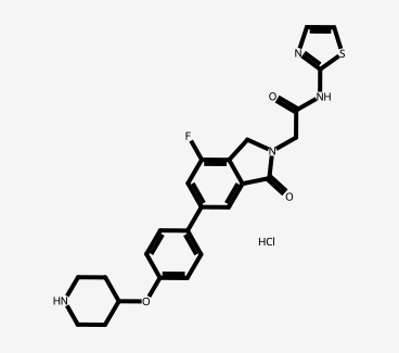 Cl.O=C(CN1Cc2c(F)cc(-c3ccc(OC4CCNCC4)cc3)cc2C1=O)Nc1nccs1